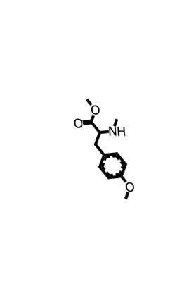 CNC(Cc1ccc(OC)cc1)C(=O)OC